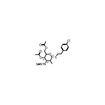 CC(=O)OCC1O[C@H](SCCc2ccc(Cl)cc2)C(C)[C@@H](N=[N+]=[N-])[C@H]1OC(C)=O